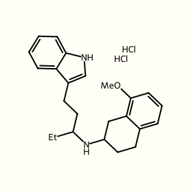 CCC(CCc1c[nH]c2ccccc12)NC1CCc2cccc(OC)c2C1.Cl.Cl